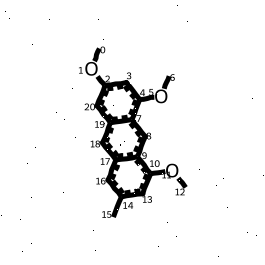 COc1cc(OC)c2cc3c(OC)cc(C)cc3cc2c1